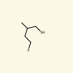 CC(CS)CC[S]